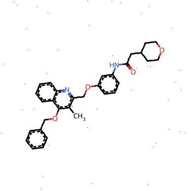 Cc1c(COc2cccc(NC(=O)CC3CCOCC3)c2)nc2ccccc2c1OCc1ccccc1